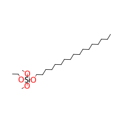 CCCCCCCCCCCCCCCCCO[Si](OC)(OC)OCC